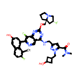 CCc1c(F)ccc2cc(O)cc(-c3ncc4c(NCc5cc(C(=O)N(C)C)n(CC6CC(O)C6)n5)nc(OC[C@@]56CCCN5C[C@H](F)C6)nc4c3F)c12